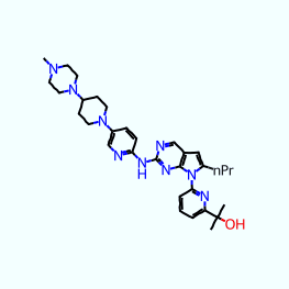 CCCc1cc2cnc(Nc3ccc(N4CCC(N5CCN(C)CC5)CC4)cn3)nc2n1-c1cccc(C(C)(C)O)n1